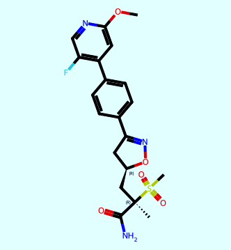 COc1cc(-c2ccc(C3=NO[C@@H](C[C@](C)(C(N)=O)S(C)(=O)=O)C3)cc2)c(F)cn1